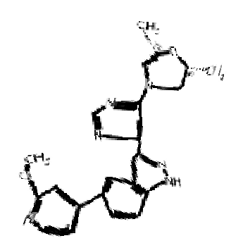 COc1cc(-c2ccc3[nH]nc(-c4cc(N5C[C@@H](C)O[C@@H](C)C5)ncn4)c3c2)ccn1